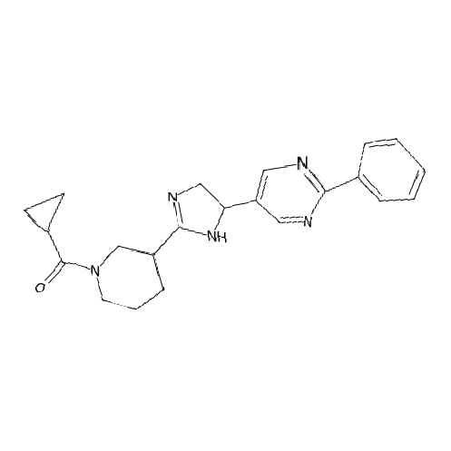 O=C(C1CC1)N1CCCC(C2=NCC(c3cnc(-c4ccccc4)nc3)N2)C1